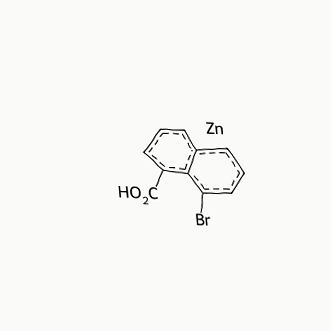 O=C(O)c1cccc2cccc(Br)c12.[Zn]